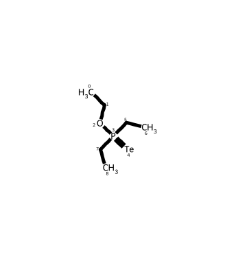 CCOP(=[Te])(CC)CC